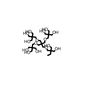 CCC(CO)(CO)COCC(COCC(CO)(CO)CO)(COCC(CO)(CO)CO)COCC(CO)(CO)CO